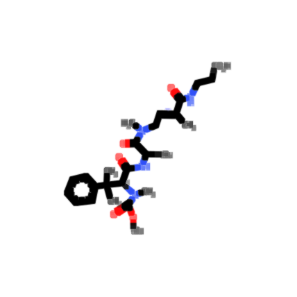 C/C(=C\CN(C)C(=O)C(NC(=O)[C@@H](N(C)C(=O)OC(C)(C)C)C(C)(C)c1ccccc1)C(C)(C)C)C(=O)NCCC(=O)O